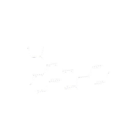 c1ccc(-c2cc3cc(N4CCCC4)c4ccncc4c3nn2)cc1